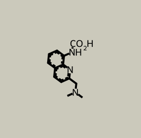 CN(C)Cc1ccc2cccc(NC(=O)O)c2n1